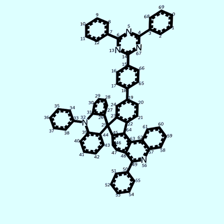 c1ccc(-c2nc(-c3ccccc3)nc(-c3ccc(-c4ccc5c(c4)C4(c6ccccc6N(c6ccccc6)c6ccccc64)c4ccc6c(-c7ccccc7)nc7ccccc7c6c4-5)cc3)n2)cc1